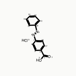 Cl.O=C(O)c1ccc(N=Nc2ccccc2)cc1